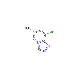 Cc1cc(Br)c2nccn2c1